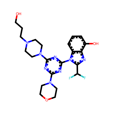 OCCCN1CCN(c2nc(N3CCOCC3)nc(-n3c(C(F)F)nc4c(O)cccc43)n2)CC1